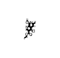 CCOC(=O)c1cnc2c(OC)nc(C)cc2c1Cl